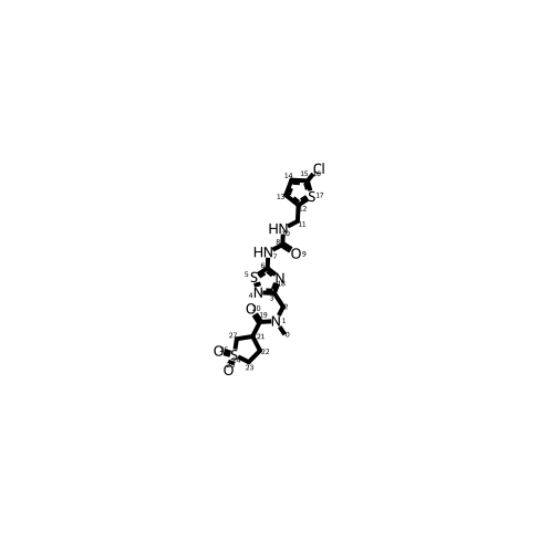 CN(Cc1nsc(NC(=O)NCc2ccc(Cl)s2)n1)C(=O)C1CCS(=O)(=O)C1